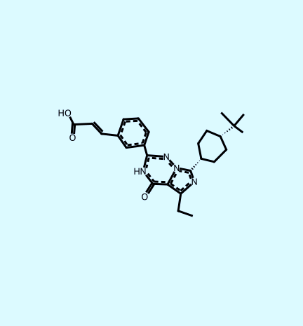 CCc1nc([C@H]2CC[C@@H](C(C)(C)C)CC2)n2nc(-c3cccc(/C=C/C(=O)O)c3)[nH]c(=O)c12